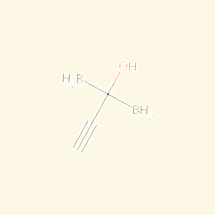 BC(B)(O)C#C